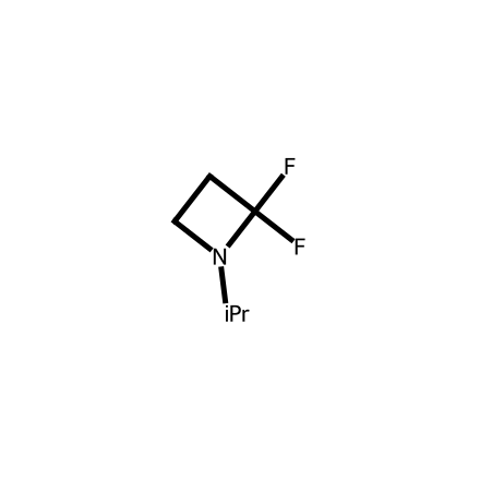 CC(C)N1CCC1(F)F